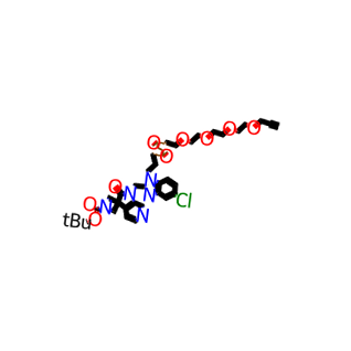 C#CCOCCOCCOCCOCCS(=O)(=O)CCCn1c(CN2C(=O)C3(CN(C(=O)OC(C)(C)C)C3)c3ccncc32)nc2cc(Cl)ccc21